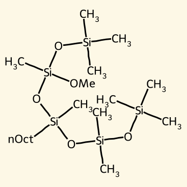 CCCCCCCC[Si](C)(O[Si](C)(C)O[Si](C)(C)C)O[Si](C)(OC)O[Si](C)(C)C